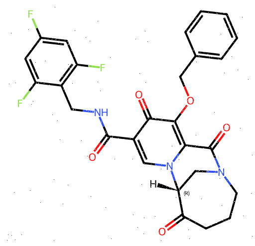 O=C(NCc1c(F)cc(F)cc1F)c1cn2c(c(OCc3ccccc3)c1=O)C(=O)N1CCCC(=O)[C@H]2C1